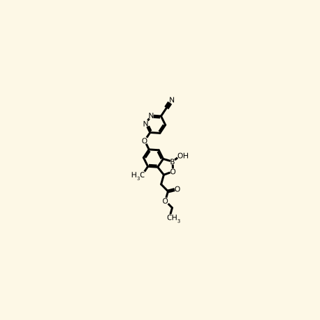 CCOC(=O)CC1OB(O)c2cc(Oc3ccc(C#N)nn3)cc(C)c21